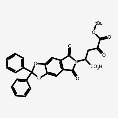 CC(C)(C)OC(=O)C(=O)CC(C(=O)O)N1C(=O)c2cc3c(cc2C1=O)OC(c1ccccc1)(c1ccccc1)O3